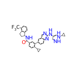 N=C/C(=C\NC1CC1)Nc1ncc2cc(-c3cc(C(=O)NC4CCc5c4cccc5C(F)(F)F)ccc3C3CC3)ccc2n1